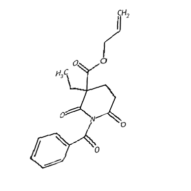 C=CCOC(=O)C1(CC)CCC(=O)N(C(=O)c2ccccc2)C1=O